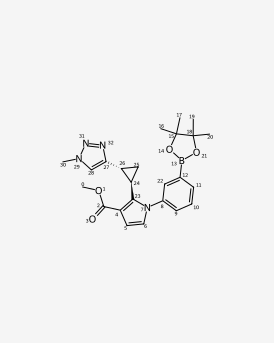 COC(=O)c1ccn(-c2cccc(B3OC(C)(C)C(C)(C)O3)c2)c1[C@@H]1C[C@H]1c1cn(C)nn1